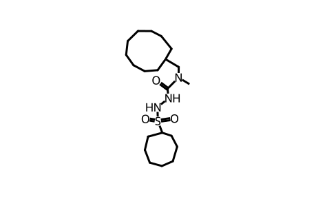 CN(CC1CCCCCCCCC1)C(=O)NNS(=O)(=O)C1CCCCCCC1